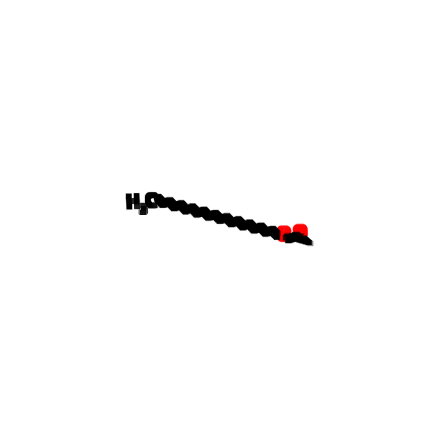 CCCCCCCCCCCCCCCCCCCCCCCOCC1CO1